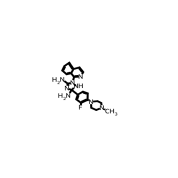 CN1CCN(c2ccc(C3(N)N=C(N)N(c4nccc5ccccc45)N3)cc2F)CC1